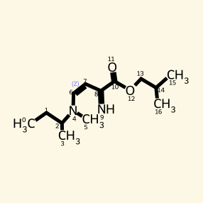 CCC(C)N(C)/C=C\C(=N)C(=O)OCC(C)C